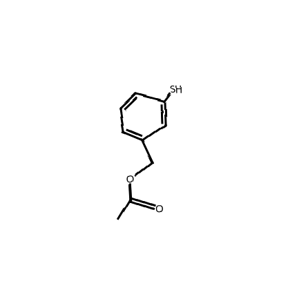 CC(=O)OCc1cccc(S)c1